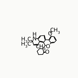 COc1cccc2c1-c1ccc3c(c1C(C1CCCCC1=O)O2)C(C)=CC(C)(C)N3